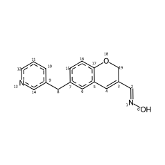 ON=CC1=Cc2cc(Cc3cccnc3)ccc2OC1